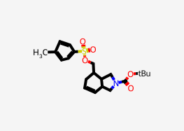 Cc1ccc(S(=O)(=O)OCC2CC=CC3CN(C(=O)OC(C)(C)C)CC32)cc1